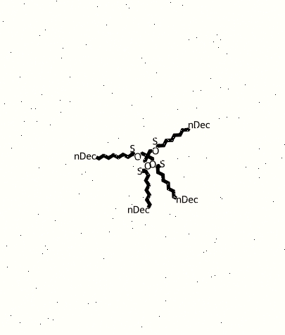 CCCCCCCCCCCCCCCCCC(=S)OCC(COC(=S)CCCCCCCCCCCCCCCCC)(COC(=S)CCCCCCCCCCCCCCCCC)COC(=S)CCCCCCCCCCCCCCCCC